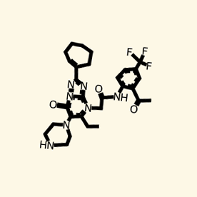 CCc1c(N2CCNCC2)c(=O)n2nc(C3=CCCCCC3)nc2n1CC(=O)Nc1ccc(C(F)(F)F)cc1C(C)=O